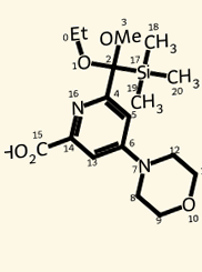 CCOC(OC)(c1cc(N2CCOCC2)cc(C(=O)O)n1)[Si](C)(C)C